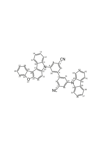 N#Cc1cc(-c2cc(C#N)cc(-n3c4ccccc4c4c5c(ccc43)oc3ccccc35)c2)cc(-n2c3ccccc3c3ccccc32)c1